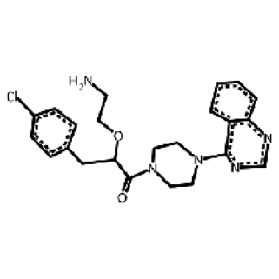 NCCOC(Cc1ccc(Cl)cc1)C(=O)N1CCN(c2ncnc3ccccc23)CC1